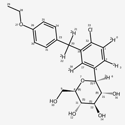 [2H]c1c([2H])c([C@]2([2H])O[C@H](CO)[C@@H](O)[C@H](O)[C@H]2O)c([2H])c(C([2H])([2H])c2ccc(OCC)cc2)c1Cl